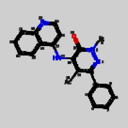 CCn1nc(-c2ccccc2)c(C(C)=O)c(Nc2ccnc3ccccc23)c1=O